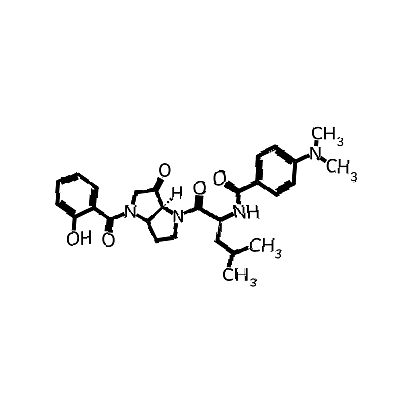 CC(C)C[C@H](NC(=O)c1ccc(N(C)C)cc1)C(=O)N1CCC2[C@H]1C(=O)CN2C(=O)c1ccccc1O